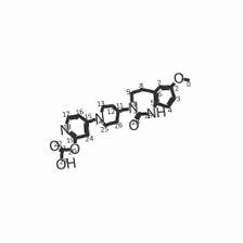 COc1ccc2c(c1)CCN(C1CCN(c3ccnc(OC(=O)O)c3)CC1)C(=O)N2